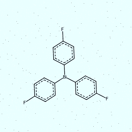 Fc1cc[c]([Bi]([c]2ccc(F)cc2)[c]2ccc(F)cc2)cc1